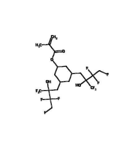 C=C(C)C(=O)OC1CC(CC(O)(C(F)(F)F)C(F)(F)CF)CC(CC(O)(C(F)(F)F)C(F)(F)CF)C1